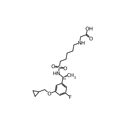 C[C@H](NS(=O)(=O)CCCCCNCC(=O)O)c1cc(F)cc(OCC2CC2)c1